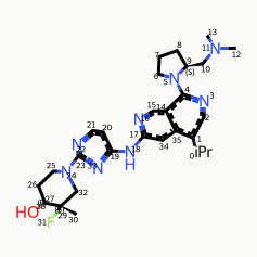 CC(C)c1cnc(N2CCC[C@H]2CN(C)C)c2cnc(Nc3ccnc(N4CC[C@@H](O)[C@@](C)(F)C4)n3)cc12